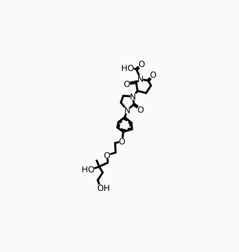 CC(O)(CCO)COCCOc1ccc(N2CCN(C3CCC(=O)N(C(=O)O)C3=O)C2=O)cc1